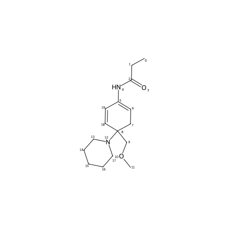 CCC(=O)NC1=CCC(COC)(N2CCCCC2)C=C1